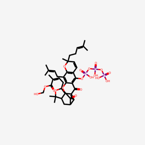 CC(C)=CCCC1(C)C=Cc2c(c(CC=C(C)C)c3c(c2OP(=O)(O)OP(=O)(O)OP(=O)(O)O)C(=O)C2=CC4CC5C(C)(C)OC(C/C=C(/C)C(=O)OCO)(C4=O)C25O3)O1